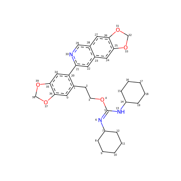 c1c(CCOC(=NC2CCCCC2)NC2CCCCC2)c(-c2cc3cc4c(cc3cn2)OCO4)cc2c1OCO2